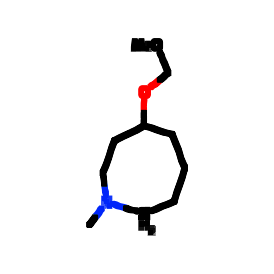 COCOC1CCC[SiH2]N(C)CC1